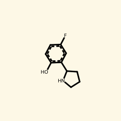 Oc1ccc(F)cc1C1CCCN1